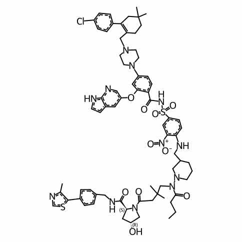 CCCC(=O)N(CC(C)(C)CC(=O)N1C[C@H](O)C[C@H]1C(=O)NCc1ccc(-c2scnc2C)cc1)N1CCCC(CNc2ccc(S(=O)(=O)NC(=O)c3ccc(N4CCN(CC5=C(c6ccc(Cl)cc6)CC(C)(C)CC5)CC4)cc3Oc3cnc4[nH]ccc4c3)cc2[N+](=O)[O-])C1